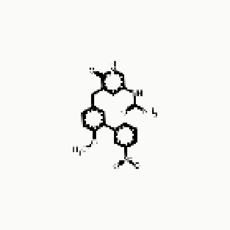 COc1ccc(Cc2cc(NC(N)=O)c[nH]c2=O)cc1-c1cccc([N+](=O)[O-])c1